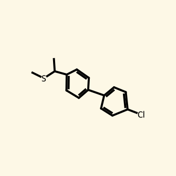 CSC(C)c1ccc(-c2ccc(Cl)cc2)cc1